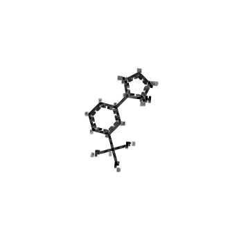 FC(F)(F)c1cccc(-c2n[c]n[nH]2)c1